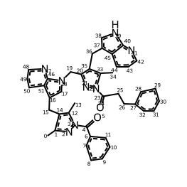 Cc1nn(C(=O)c2ccccc2)c(C)c1Cc1cn(Cc2nn(C(=O)CCc3ccccc3)c(C)c2Cc2c[nH]c3ncccc23)c2ncccc12